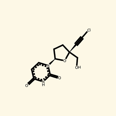 O=c1ccn([C@H]2CC[C@](C#CCl)(CO)O2)c(=O)[nH]1